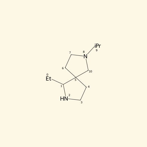 CCC1NCCC12CCN(C(C)C)C2